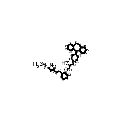 CCOc1cc(/C=C/c2ccccc2OCC(O)CN2CCC(=C3c4ccccc4CCc4ccccc43)CC2)on1